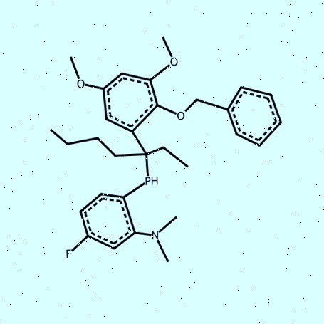 CCCCC(CC)(Pc1ccc(F)cc1N(C)C)c1cc(OC)cc(OC)c1OCc1ccccc1